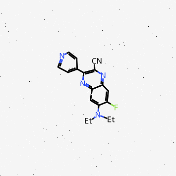 CCN(CC)c1cc2nc(-c3ccncc3)c(C#N)nc2cc1F